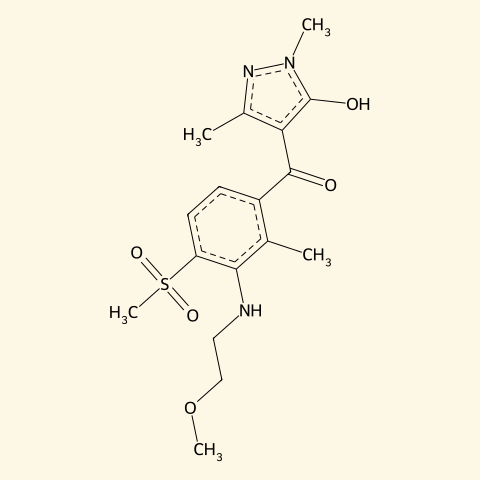 COCCNc1c(S(C)(=O)=O)ccc(C(=O)c2c(C)nn(C)c2O)c1C